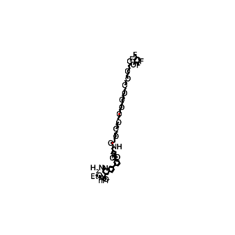 CCCN(OCC)C(=O)C1=Cc2ccc(-c3cccc(S(=O)(=O)N4CC(CNC(=O)CCOCCOCCOCCOCCOCCOCCOCCOCCOCCOCCC(=O)Oc5c(F)c(F)cc(F)c5F)C4)c3)cc2N=C(N)C1